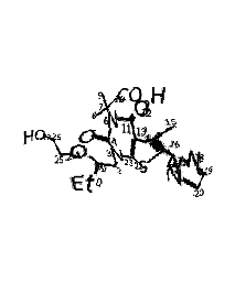 CC[C@H](Cn1c(=O)n(C(C)(C)C(=O)O)c(=O)c2c(C)c(-n3nccn3)sc21)OCCO